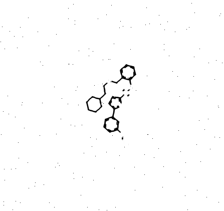 COc1cccc(-c2ccc(S(=O)(=O)Nc3ccccc3CN[C@@H](C)CC3CCCCC3)s2)c1